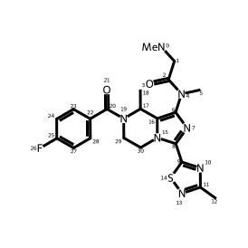 CNCC(=O)N(C)c1nc(-c2nc(C)ns2)n2c1C(C)N(C(=O)c1ccc(F)cc1)CC2